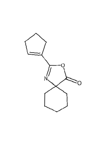 O=C1OC(C2=CCCC2)=NC12CCCCC2